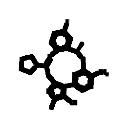 C[C@H]1Oc2nc(cnc2N)-c2c(nn(C)c2C#N)C/C(N2CCCC2)=N\c2ccc(F)cc21